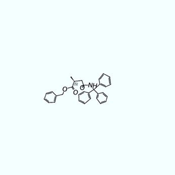 C[C@@H](CC(=O)NC(c1ccccc1)(c1ccccc1)c1ccccc1)C(=O)OCc1ccccc1